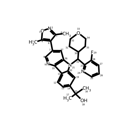 Cc1noc(C)c1-c1cnc2c3ccc(C(C)(C)O)cc3n(C(c3ncccc3F)C3CCOCC3)c2c1